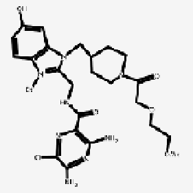 CC[n+]1c(CNC(=O)c2nc(Cl)c(N)nc2N)n(CC2CCN(C(=O)COCCOC)CC2)c2cc(O)ccc21